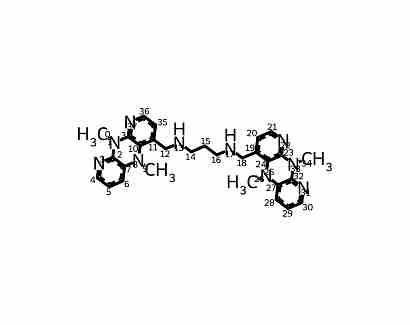 CN1c2ncccc2N(C)c2c(CNCCCNCc3ccnc4c3N(C)c3cccnc3N4C)ccnc21